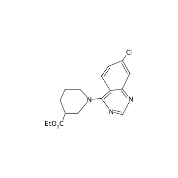 CCOC(=O)C1CCCN(c2ncnc3cc(Cl)ccc23)C1